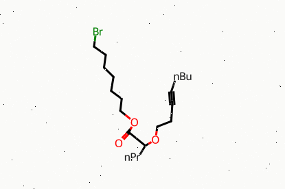 CCCCC#CCCOC(CCC)C(=O)OCCCCCCCBr